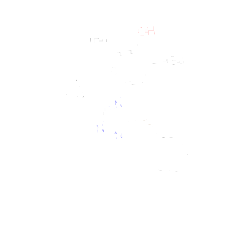 CC(C)(C)c1cc(-n2c(SC3CCCCC3)nnc2C2CC2)cc(C(C)(C)C)c1O